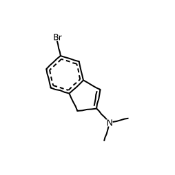 CN(C)C1=Cc2cc(Br)ccc2C1